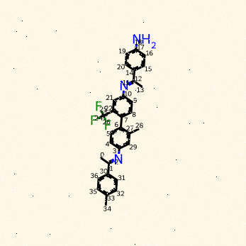 C/C(=N\c1ccc(-c2ccc(/N=C(\C)c3ccc(N)cc3)cc2C(F)(F)F)c(C)c1)c1ccc(C)cc1